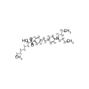 CCCCCCCC(O)S(=O)(=O)c1ccc(C=Cc2ccc(N(CCCC)CCCC)cc2)cc1